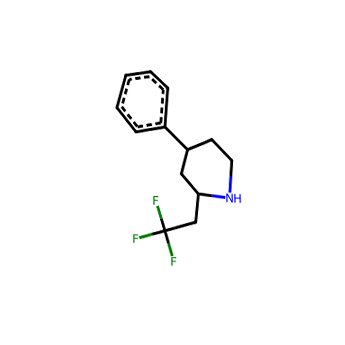 FC(F)(F)CC1CC(c2ccccc2)CCN1